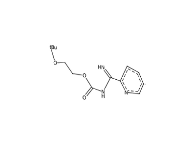 CC(C)(C)OCCOC(=O)NC(=N)c1cc[c]cn1